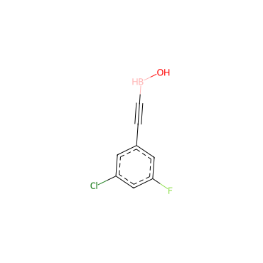 OBC#Cc1cc(F)cc(Cl)c1